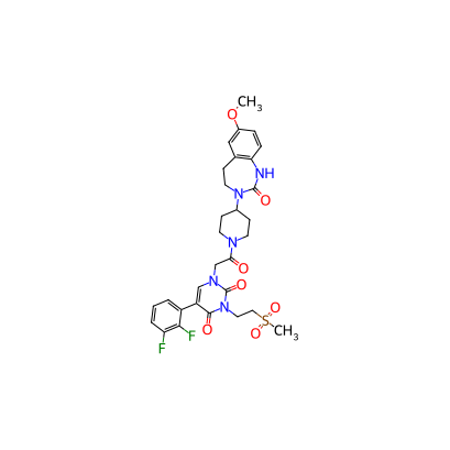 COc1ccc2c(c1)CCN(C1CCN(C(=O)Cn3cc(-c4cccc(F)c4F)c(=O)n(CCS(C)(=O)=O)c3=O)CC1)C(=O)N2